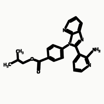 CC(C)COC(=O)c1ccc(-n2c(-c3cccnc3N)nc3cccnc32)cc1